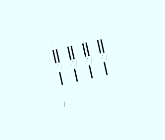 [Hf+4].[O]=[Al][O-].[O]=[Al][O-].[O]=[Al][O-].[O]=[Al][O-]